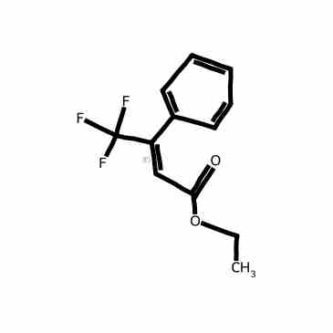 CCOC(=O)/C=C(\c1ccccc1)C(F)(F)F